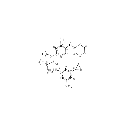 Cc1nc(NC/C(=C(/N)c2ccc(OC3CCCCC3)c(C)n2)N(C)N)nc(C2CC2)n1